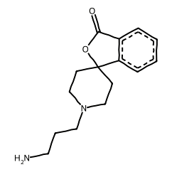 NCCCN1CCC2(CC1)OC(=O)c1ccccc12